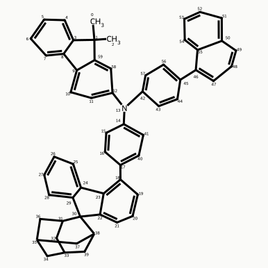 CC1(C)c2ccccc2-c2ccc(N(c3ccc(-c4cccc5c4-c4ccccc4C54C5CC6CC(C5)CC4C6)cc3)c3ccc(-c4cccc5ccccc45)cc3)cc21